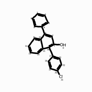 Oc1cc(-c2ccccc2)c2ccccc2c1-c1ccc(Cl)cc1